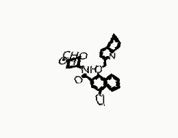 O=C(NC1CCC1)c1cc(Cl)c2ccccc2c1OCc1ccc2ccccc2n1.O=CO